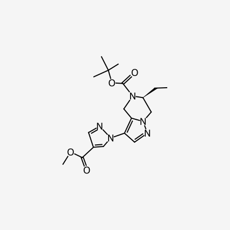 CC[C@H]1Cn2ncc(-n3cc(C(=O)OC)cn3)c2CN1C(=O)OC(C)(C)C